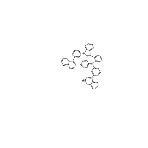 C1=C(c2cccc(N3c4ccccc4-c4c(n(-c5cccc(-c6cccc7ccccc67)c5)c5ccccc45)-c4ccccc43)c2)c2ccccc2CN1